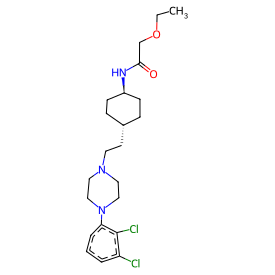 CCOCC(=O)N[C@H]1CC[C@H](CCN2CCN(c3cccc(Cl)c3Cl)CC2)CC1